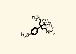 Bc1ccc(C(CCN)(CCN)C(=C)C)cc1